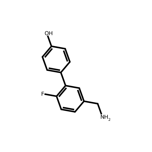 NCc1ccc(F)c(-c2ccc(O)cc2)c1